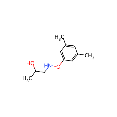 Cc1cc(C)cc(ONCC(C)O)c1